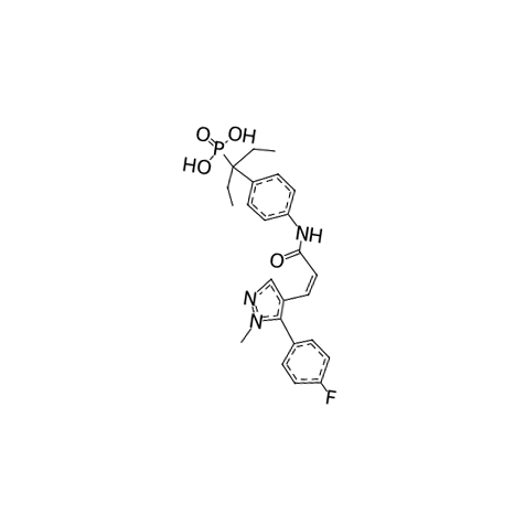 CCC(CC)(c1ccc(NC(=O)/C=C\c2cnn(C)c2-c2ccc(F)cc2)cc1)P(=O)(O)O